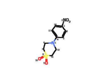 O=[N+]([O-])c1ccc(N2CCS(=O)(=O)CC2)cc1